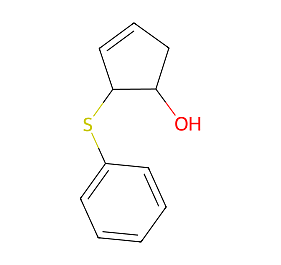 OC1CC=CC1Sc1ccccc1